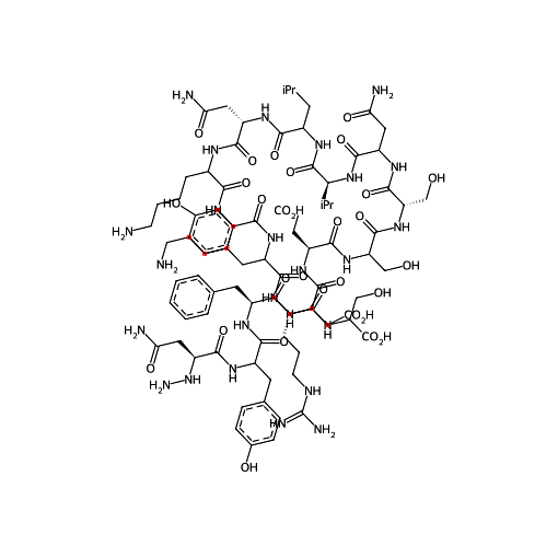 CC(C)CC(NC(=O)[C@@H](NC(=O)C(CC(N)=O)NC(=O)[C@H](CO)NC(=O)C(CO)NC(=O)[C@H](CC(=O)O)NC(=O)C(CC(=O)O)NC(=O)[C@H](Cc1ccccc1)NC(=O)C(Cc1ccc(O)cc1)NC(=O)[C@H](CC(N)=O)NN)C(C)C)C(=O)N[C@@H](CC(N)=O)C(=O)NC(CCCCN)C(=O)N[C@@H](CCCCN)C(=O)NC(Cc1ccc(O)cc1)C(=O)N[C@@H](CCCNC(=N)N)C(=O)NC(CO)C(=O)O